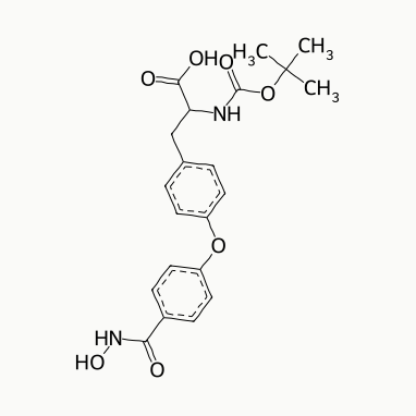 CC(C)(C)OC(=O)NC(Cc1ccc(Oc2ccc(C(=O)NO)cc2)cc1)C(=O)O